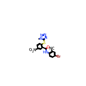 Cn1nnnc1Sc1ccc([N+](=O)[O-])cc1C(=O)Nc1ccc(Br)cc1C#N